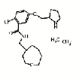 O=C(NC[C]1CCCCCCC1)c1cc(OCC2CCCN2)ccc1Cl.[CH2].[CH2]